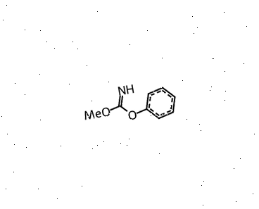 COC(=N)Oc1ccccc1